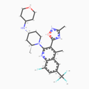 Cc1noc(-c2c(N3CC[C@@H](NC4CCOCC4)C[C@H]3C)nc3c(F)cc(C(F)(F)F)cc3c2C)n1